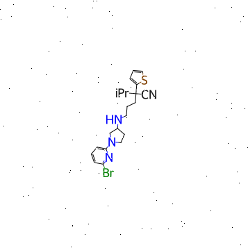 CC(C)C(C#N)(CCCNC1CCN(c2cccc(Br)n2)C1)c1cccs1